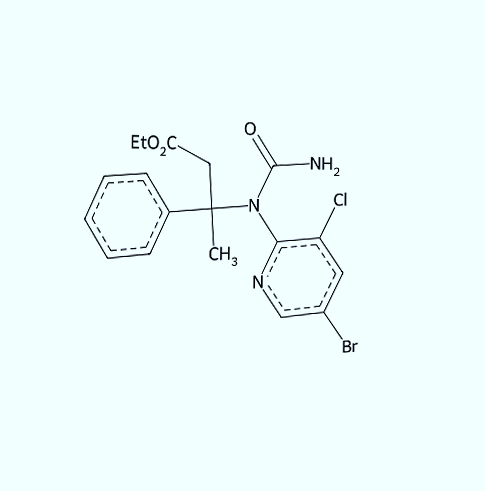 CCOC(=O)CC(C)(c1ccccc1)N(C(N)=O)c1ncc(Br)cc1Cl